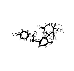 CC1(C)OCC(=S)NC(C)(c2cc(NC(=O)c3ccc(C#N)cn3)ccc2F)C1(F)F